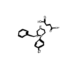 Clc1ccc(N2CCNC[C@@H]2Cc2ccccc2)cc1.O=C(O)C=CC(=O)O